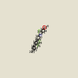 CCOc1ccc(/C=C/C2CCC(c3ccc(-c4ccc(CC)cc4)c(F)c3F)CC2)c(F)c1